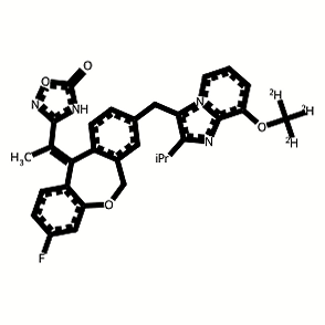 [2H]C([2H])([2H])Oc1cccn2c(Cc3ccc4c(c3)COc3cc(F)ccc3/C4=C(\C)c3noc(=O)[nH]3)c(C(C)C)nc12